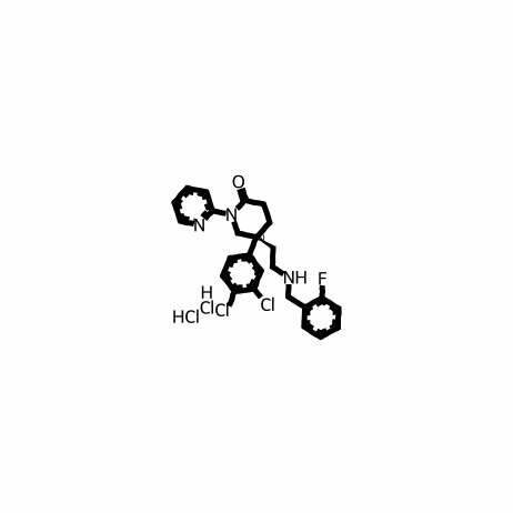 Cl.Cl.O=C1CC[C@](CCNCc2ccccc2F)(c2ccc(Cl)c(Cl)c2)CN1c1ccccn1